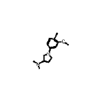 COc1cc(N2CCC(N(C)C)C2)ccc1C